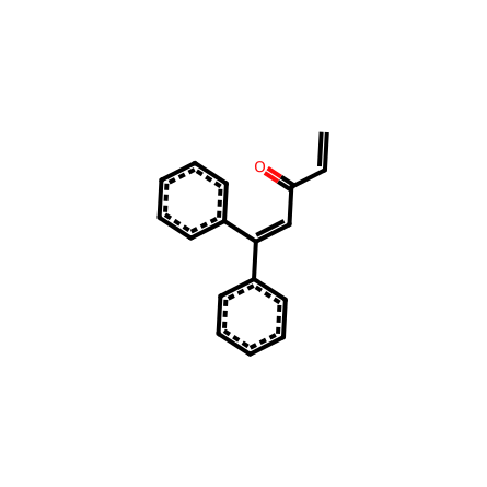 C=CC(=O)C=C(c1ccccc1)c1ccccc1